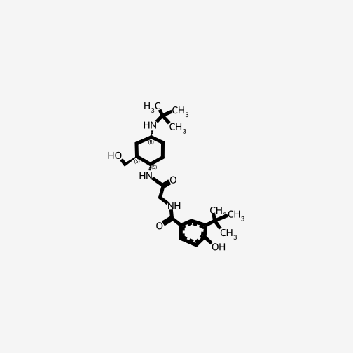 CC(C)(C)N[C@@H]1CC[C@H](NC(=O)CNC(=O)c2ccc(O)c(C(C)(C)C)c2)[C@@H](CO)C1